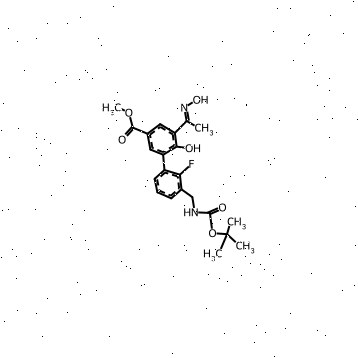 COC(=O)c1cc(C(C)=NO)c(O)c(-c2cccc(CNC(=O)OC(C)(C)C)c2F)c1